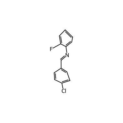 Fc1ccccc1N=Cc1ccc(Cl)cc1